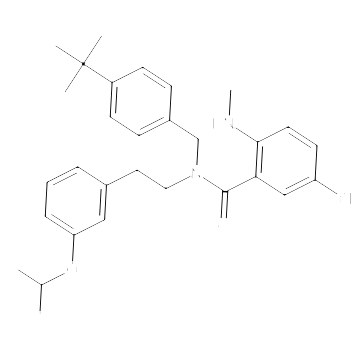 CNc1ccc(Cl)cc1C(=O)N(CCc1cccc(OC(F)F)c1)Cc1ccc(C(C)(C)C)cc1